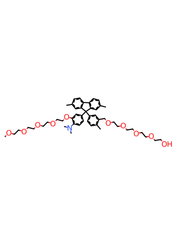 COCCOCCOCCOCCOc1cc(C2(c3ccc(C)c(COCCOCCOCCOCCO)c3)c3cc(C)ccc3-c3ccc(C)cc32)ccc1N(C)C